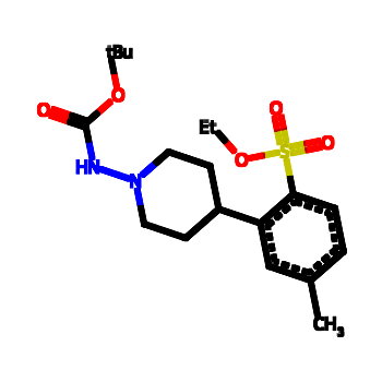 CCOS(=O)(=O)c1ccc(C)cc1C1CCN(NC(=O)OC(C)(C)C)CC1